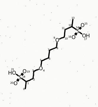 CC(CCOCCCCOCCC(C)S(=O)(=O)O)S(=O)(=O)O